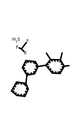 Cc1ccc(-c2cccc(-c3ccccc3)c2)c(C)c1C.FC(F)F.S